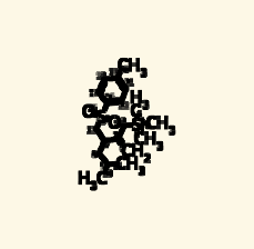 C=C(C[Si](C)(C)C)C(CC(C)C)CS(=O)(=O)c1ccc(C)cc1